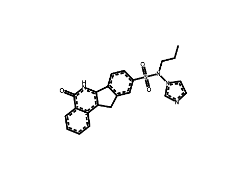 CCCN(n1ccnc1)S(=O)(=O)c1ccc2c(c1)Cc1c-2[nH]c(=O)c2ccccc12